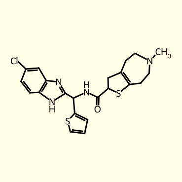 CN1CCC2=C(CC1)SC(C(=O)NC(c1nc3cc(Cl)ccc3[nH]1)c1cccs1)C2